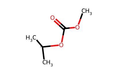 COC(=O)O[C](C)C